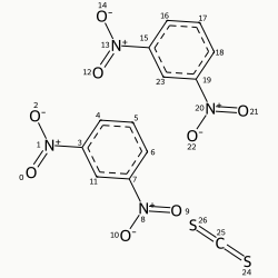 O=[N+]([O-])c1cccc([N+](=O)[O-])c1.O=[N+]([O-])c1cccc([N+](=O)[O-])c1.S=C=S